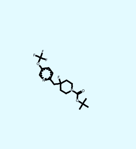 CC(C)(C)OC(=O)N1CCC(F)(Cc2ccc(OC(F)(F)F)cn2)CC1